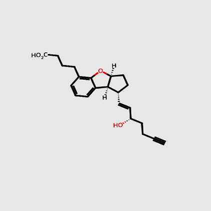 C#CCC[C@H](O)/C=C/[C@H]1CC[C@@H]2Oc3c(CCCC(=O)O)cccc3[C@@H]21